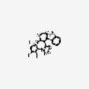 Nc1nccc(-c2ccccc2[N+](=O)[O-])c1-c1nnnn1-c1cccc(F)c1F